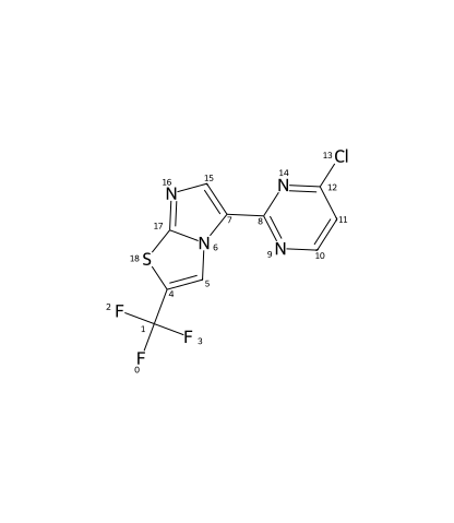 FC(F)(F)c1cn2c(-c3nccc(Cl)n3)cnc2s1